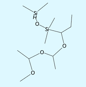 CCC(OC(C)OC(C)OC)[Si](C)(C)O[SiH](C)C